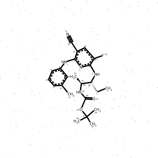 CC[C@@H](Nc1nc(Nc2cccc(C)c2)c(C#N)cc1F)[C@H](C)NC(=O)OC(C)(C)C